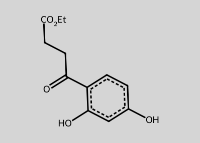 CCOC(=O)CCC(=O)c1ccc(O)cc1O